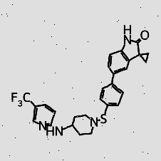 O=C1Nc2ccc(-c3ccc(SN4CCC(Nc5ccc(C(F)(F)F)cn5)CC4)cc3)cc2C12CC2